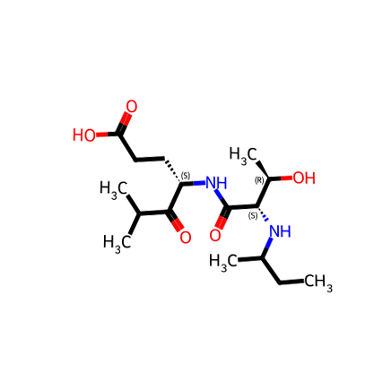 CCC(C)N[C@H](C(=O)N[C@@H](CCC(=O)O)C(=O)C(C)C)[C@@H](C)O